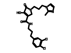 Cc1nccn1CCCN1CC(C(=O)NCCCc2ccc(Cl)c(Cl)c2)=C(O)C1=O